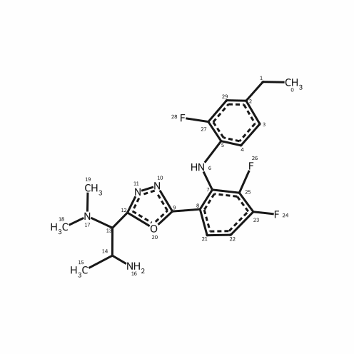 CCc1ccc(Nc2c(-c3nnc(C(C(C)N)N(C)C)o3)ccc(F)c2F)c(F)c1